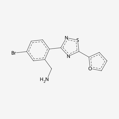 NCc1cc(Br)ccc1-c1nsc(-c2ccco2)n1